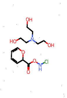 O=C(ONCl)C1C=CC=CO1.OCCN(CCO)CCO